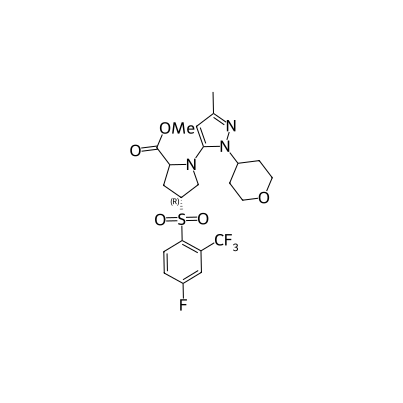 COC(=O)C1C[C@@H](S(=O)(=O)c2ccc(F)cc2C(F)(F)F)CN1c1cc(C)nn1C1CCOCC1